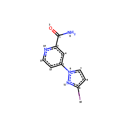 NC(=O)c1cc(-n2ccc(I)n2)ccn1